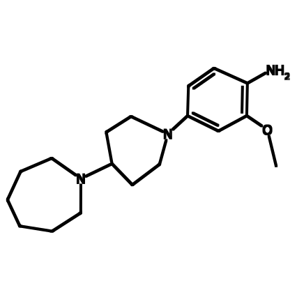 COc1cc(N2CCC(N3CCCCCC3)CC2)ccc1N